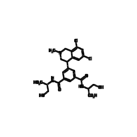 CN1Cc2c(Cl)cc(Cl)cc2C(c2cc(C(=O)NC(CO)C(=O)O)cc(C(=O)NC(CO)C(=O)O)c2)C1